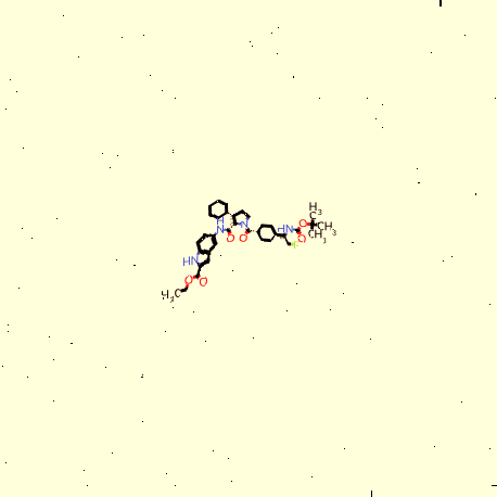 CCOC(=O)c1cc2cc(NC(=O)[C@@H]3[C@H](C4CCCCC4)CCN3C(=O)[C@H]3CC[C@H]([C@H](CF)NC(=O)OC(C)(C)C)CC3)ccc2[nH]1